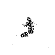 COc1c(NC(=O)Nc2ccc(Oc3ccnc(Nc4ccccc4)c3)c3ccccc23)cc(C(C)(C)C)cc1NS(=O)(=O)N1CCOCC1